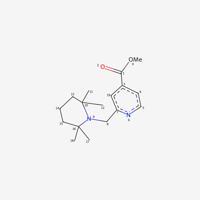 COC(=O)c1ccnc(CN2C(C)(C)CCCC2(C)C)c1